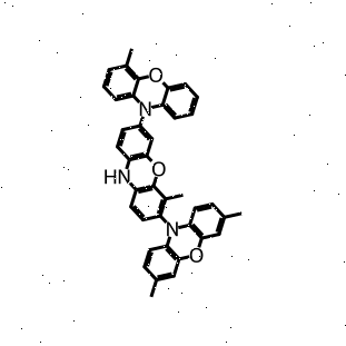 Cc1ccc2c(c1)Oc1cc(C)ccc1N2c1ccc2c(c1C)Oc1cc(N3c4ccccc4Oc4c(C)cccc43)ccc1N2